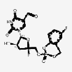 O=Cc1cn([C@@H]2O[C@](F)(COP3(=O)OCc4cc(F)ccc4O3)C[C@H]2O)c(=O)[nH]c1=O